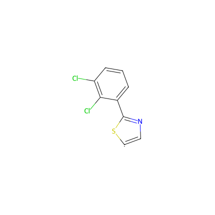 Clc1cccc(-c2nc[c]s2)c1Cl